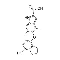 Cc1cc2[nH]c(C(=O)O)cc2c(C)c1Oc1ccc(O)c2c1CCC2